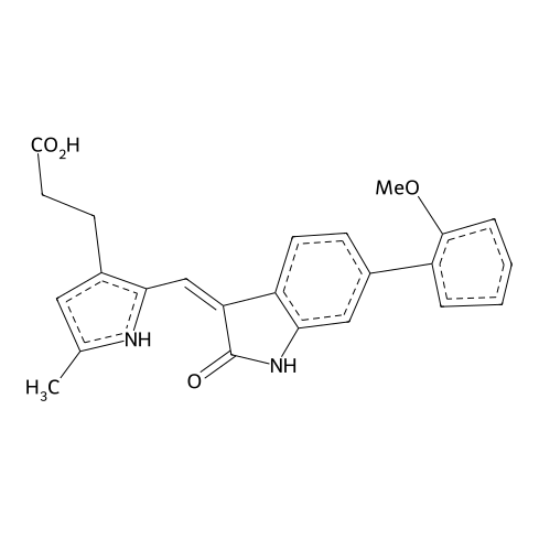 COc1ccccc1-c1ccc2c(c1)NC(=O)/C2=C\c1[nH]c(C)cc1CCC(=O)O